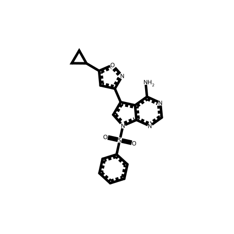 Nc1ncnc2c1c(-c1cc(C3CC3)on1)cn2S(=O)(=O)c1ccccc1